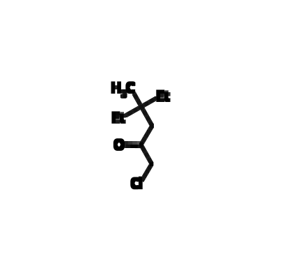 CCC(C)(CC)CC(=O)CCl